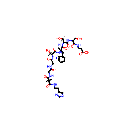 C[C@@H](O)C(NC(=O)CNC(=O)CNC(=O)C(C)(C)C(=O)NCCc1cnc[nH]1)C(=O)NC(C)(Cc1ccccc1F)C(=O)NC(C(=O)NC(CO)C(=O)NCCC(=O)O)[C@@H](C)O